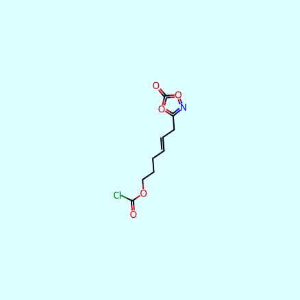 O=C(Cl)OCCCC=CCc1noc(=O)o1